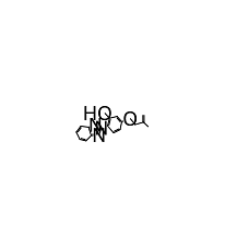 C=C(C)COc1ccc(-n2nc3ccccc3n2)c(O)c1